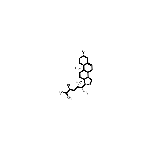 CC(C)[C@@H](O)CC[C@@H](C)[C@H]1CCC2C3CC=C4C[C@@H](O)CC[C@]4(C)C3CC[C@@]21C